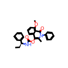 CC[C@H](NC(=O)Oc1c(C)n(-c2ccccc2)c(=O)c2c(OC)cccc12)c1ccccc1